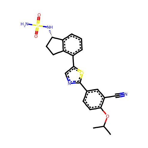 CC(C)Oc1ccc(-c2ncc(-c3cccc4c3CC[C@@H]4NS(N)(=O)=O)s2)cc1C#N